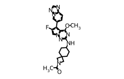 COc1nc(NC2CCC3(CC2)CN(C(C)=O)C3)nn2cc(F)c(-c3ccc4ncnn4c3)c12